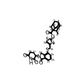 CC1C2CC3CC(C2)CC1(C(=O)Oc1nc(CSc2cccc4c2CN(C2CCC(=O)NC2=O)C4=O)cs1)C3